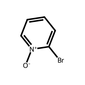 [O-][n+]1ccccc1Br